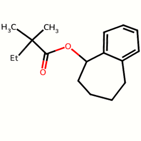 CCC(C)(C)C(=O)OC1CCCCc2ccccc21